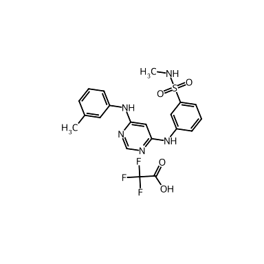 CNS(=O)(=O)c1cccc(Nc2cc(Nc3cccc(C)c3)ncn2)c1.O=C(O)C(F)(F)F